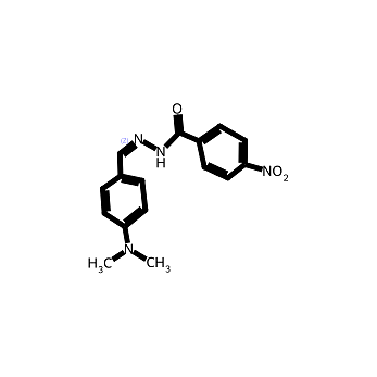 CN(C)c1ccc(/C=N\NC(=O)c2ccc([N+](=O)[O-])cc2)cc1